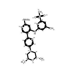 CC(=O)Nc1cc(Nc2cc(C)cc(S(C)(=O)=O)n2)c(-c2ccc(N3C[C@H](C)O[C@@H](C)C3)cn2)cn1